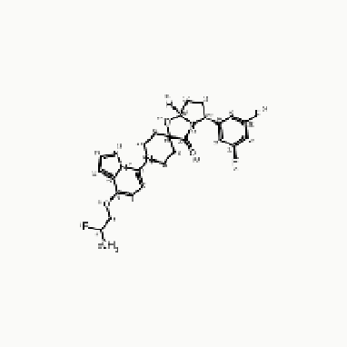 CC(F)COc1ccc(N2CCC3(CC2)O[C@@H]2CC[C@@H](c4cc(F)cc(F)c4)N2C3=O)n2nccc12